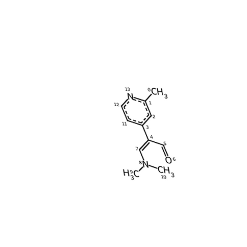 Cc1cc(C(C=O)=CN(C)C)ccn1